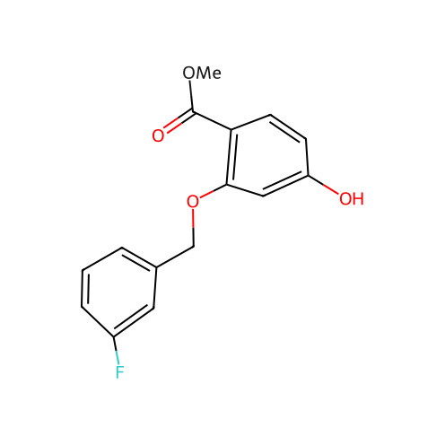 COC(=O)c1ccc(O)cc1OCc1cccc(F)c1